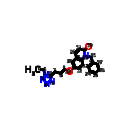 CCn1nnnc1CCCOc1ccc2c(ccc(=O)n2Cc2ccccc2)c1